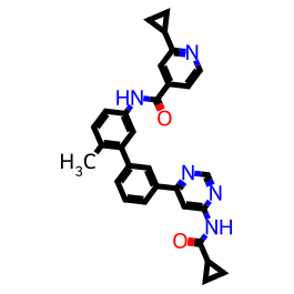 Cc1ccc(NC(=O)c2ccnc(C3CC3)c2)cc1-c1cccc(-c2cc(NC(=O)C3CC3)ncn2)c1